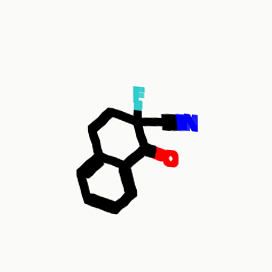 N#CC1(F)CCc2ccccc2C1=O